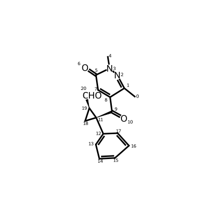 Cc1nn(C)c(=O)cc1C(=O)[C@@]1(c2ccccc2)C[C@H]1C=O